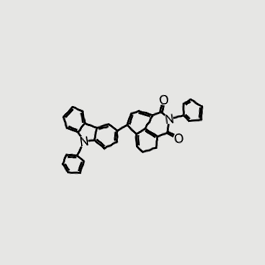 O=C1C2=c3c(ccc(-c4ccc5c(c4)c4ccccc4n5-c4ccccc4)c3=CCC2)C(=O)N1c1ccccc1